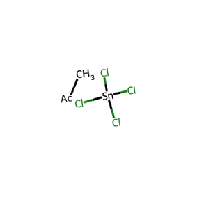 CC(C)=O.[Cl][Sn]([Cl])([Cl])[Cl]